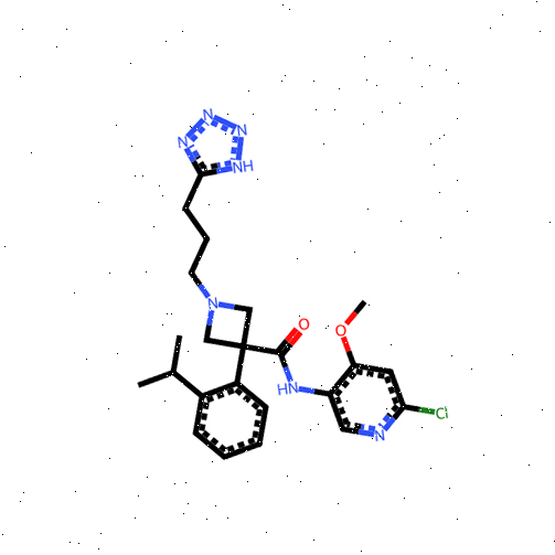 COc1cc(Cl)ncc1NC(=O)C1(c2ccccc2C(C)C)CN(CCCc2nnn[nH]2)C1